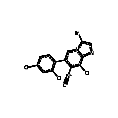 [C-]#[N+]c1c(-c2ccc(Cl)cc2Cl)cn2c(Br)cnc2c1Cl